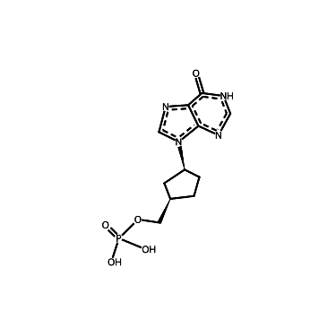 O=c1[nH]cnc2c1ncn2[C@H]1CC[C@@H](COP(=O)(O)O)C1